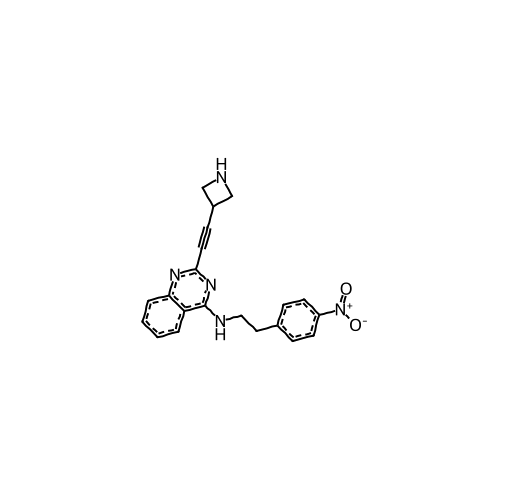 O=[N+]([O-])c1ccc(CCNc2nc(C#CC3CNC3)nc3ccccc23)cc1